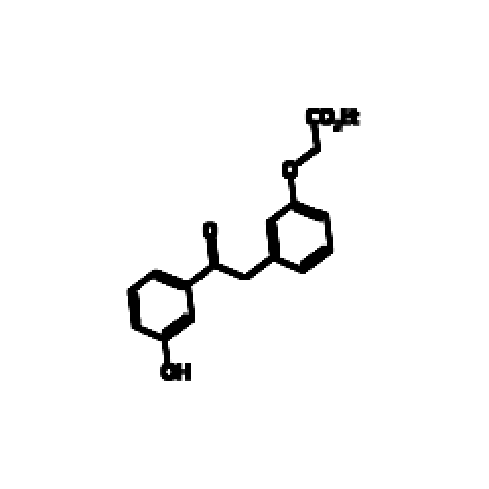 CCOC(=O)COc1cccc(CC(=O)c2cccc(O)c2)c1